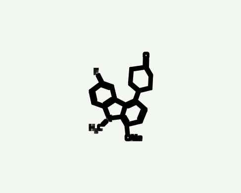 COc1ccc(C2CCC(=O)CC2)c2c3cc(F)ccc3n(C)c12